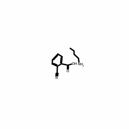 CCCCN.N#Cc1ccccc1C(=O)O